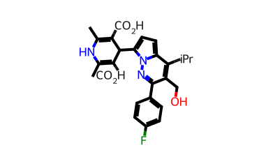 CC1=C(C(=O)O)C(c2ccc3c(C(C)C)c(CO)c(-c4ccc(F)cc4)nn23)C(C(=O)O)=C(C)N1